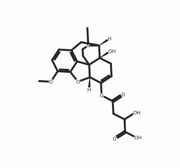 COc1ccc2c3c1O[C@H]1C(OC(=O)CC(O)C(=O)O)=CC[C@@]4(O)[C@@H](C2)N(C)CCC314